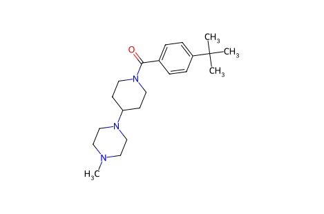 CN1CCN(C2CCN(C(=O)c3ccc(C(C)(C)C)cc3)CC2)CC1